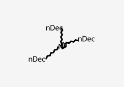 CCCCCCCCCCCCCCCCCCn1cc[n+](CCCCCCCCCCCCCCCC)c1CCCCCCCCCCCCCCCC